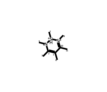 CC1=C(C)N(C)[SiH](C)[Si](C)=C1C